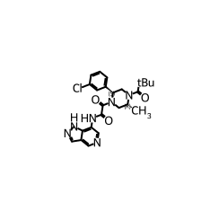 C[C@@H]1CN(C(=O)C(=O)Nc2cncc3cn[nH]c23)[C@@H](c2cccc(Cl)c2)CN1C(=O)C(C)(C)C